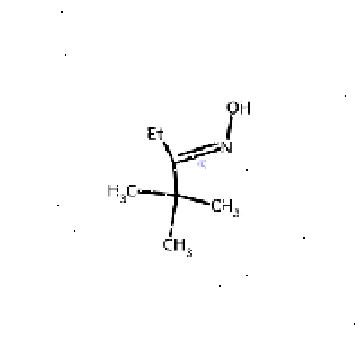 CC/C(=N\O)C(C)(C)C